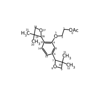 CC(=O)OCCOc1cc(C2OCC2(C)C)ccc1C1OCC1(C)C